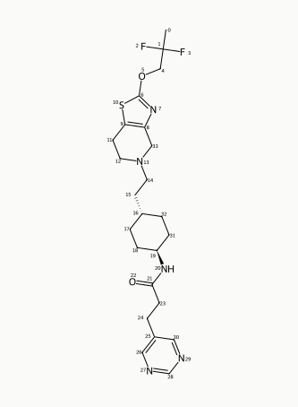 CC(F)(F)COc1nc2c(s1)CCN(CC[C@H]1CC[C@H](NC(=O)CCc3cncnc3)CC1)C2